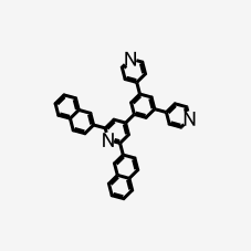 c1ccc2cc(-c3cc(-c4cc(-c5ccncc5)cc(-c5ccncc5)c4)cc(-c4ccc5ccccc5c4)n3)ccc2c1